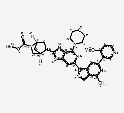 COc1ccncc1-c1cc2c(cnn2-c2cc3sc(N4C[C@H]5C[C@@H]4CN5C(=O)OC(C)(C)C)nc3c(N3CCOCC3)n2)c(C)n1